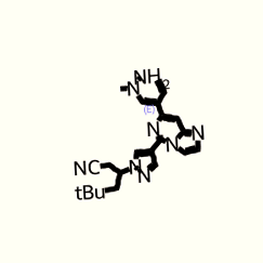 C=C/C(=C\N(C)N)c1cc2nccn2c(-c2cnn(C(CC#N)CC(C)(C)C)c2)n1